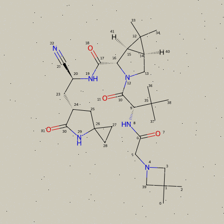 CC1(C)CN(CC(=O)N[C@H](C(=O)N2C[C@H]3[C@@H]([C@H]2C(=O)N[C@H](C#N)C[C@@H]2CC4(CC4)NC2=O)C3(C)C)C(C)(C)C)C1